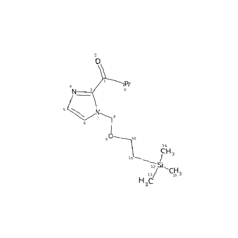 CC(C)C(=O)c1nccn1COCC[Si](C)(C)C